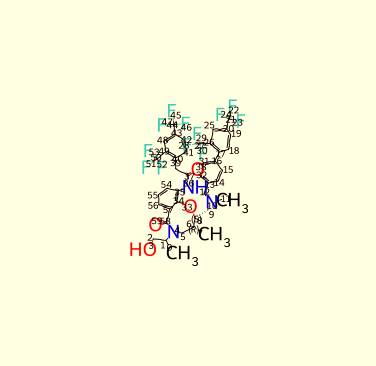 CC(CO)N1C[C@@H](C)[C@@H](CN(C)Cc2ccc(-c3ccc(C(F)(F)F)cc3C(F)(F)F)cc2)Oc2c(NC(=O)Cc3ccc(C(F)(F)F)cc3C(F)(F)F)cccc2C1=O